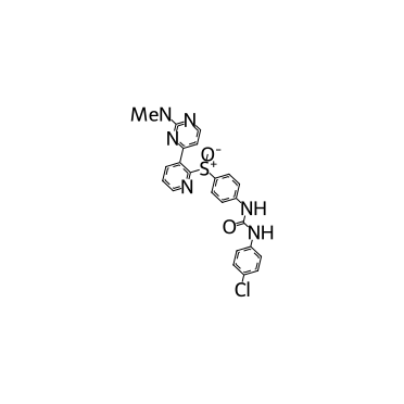 CNc1nccc(-c2cccnc2[S+]([O-])c2ccc(NC(=O)Nc3ccc(Cl)cc3)cc2)n1